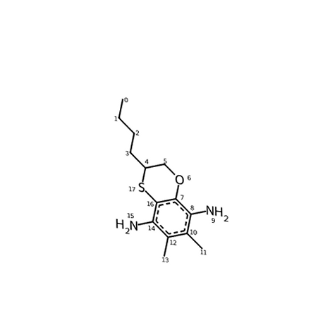 CCCCC1COc2c(N)c(C)c(C)c(N)c2S1